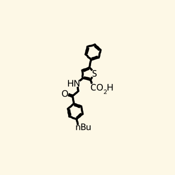 CCCCc1ccc(C(=O)CNc2cc(-c3ccccc3)sc2C(=O)O)cc1